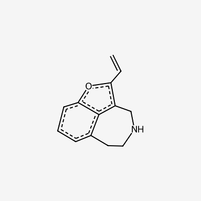 C=Cc1oc2cccc3c2c1CNCC3